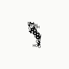 CC(C)C1=C2[C@H]3CC[C@@H]4[C@@]5(C)CC[C@H](OC(=O)CC(C)(C)C(=O)O)C(C)(C)[C@@H]5CC[C@@]4(C)[C@]3(C)CC[C@@]2([C@@H](O)CN[C@H](C)c2cnccn2)CC1=O